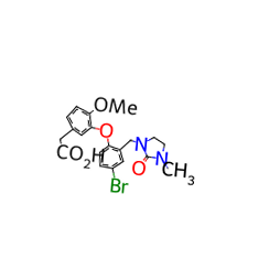 COc1ccc(CC(=O)O)cc1Oc1ccc(Br)cc1CN1CCN(C)C1=O